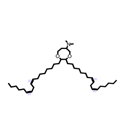 CCCCC/C=C\C/C=C\CCCCCCCC1OCCC(N(C)C)COC1CCCCCCC/C=C\C/C=C\CCCCC